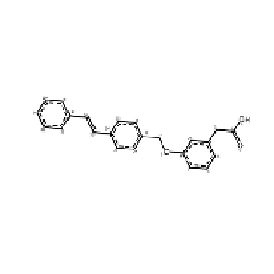 O=C(O)Cc1cccc(OCc2ccc(/C=C/c3ccccc3)cc2)c1